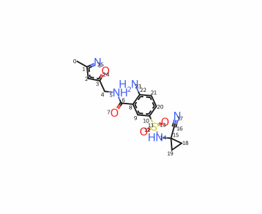 Cc1cc(CNC(=O)c2cc(S(=O)(=O)NC3(C#N)CC3)ccc2N)on1